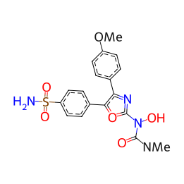 CNC(=O)N(O)c1nc(-c2ccc(OC)cc2)c(-c2ccc(S(N)(=O)=O)cc2)o1